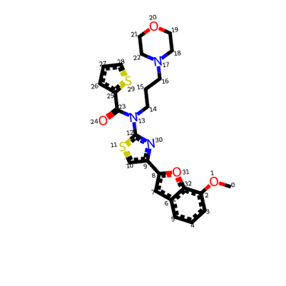 COc1cccc2cc(-c3csc(N(CCCN4CCOCC4)C(=O)c4cccs4)n3)oc12